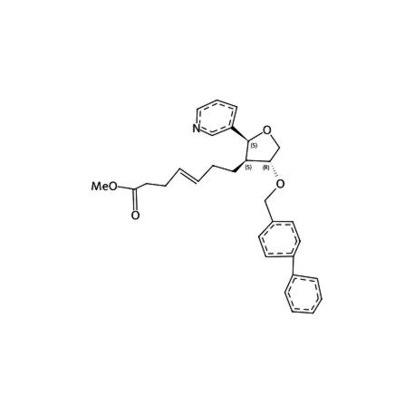 COC(=O)CCC=CCC[C@@H]1[C@@H](OCc2ccc(-c3ccccc3)cc2)CO[C@@H]1c1cccnc1